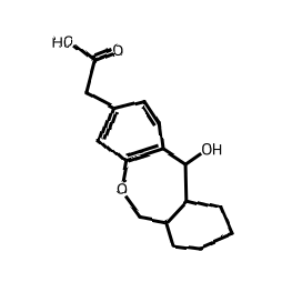 O=C(O)Cc1ccc2c(c1)OCC1CCCCC1C2O